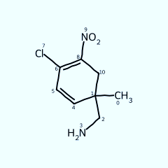 CC1(CN)C=CC(Cl)=C([N+](=O)[O-])C1